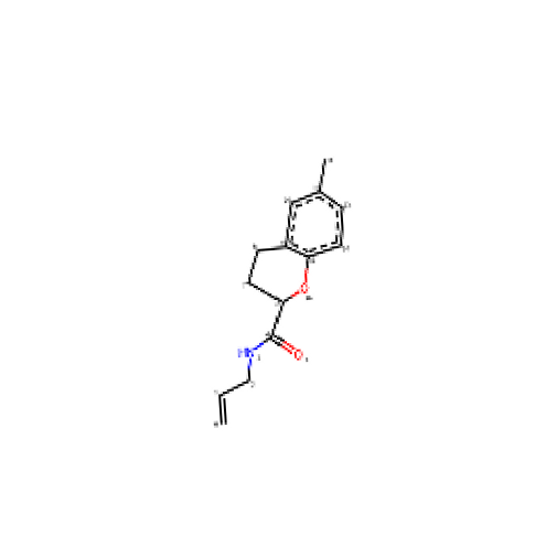 C=CCNC(=O)C1CCc2cc(C)ccc2O1